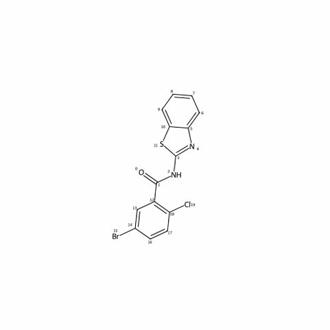 O=C(Nc1nc2ccccc2s1)c1cc(Br)ccc1Cl